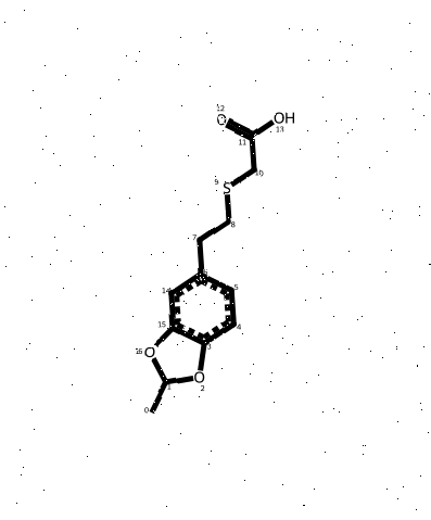 CC1Oc2ccc(CCSCC(=O)O)cc2O1